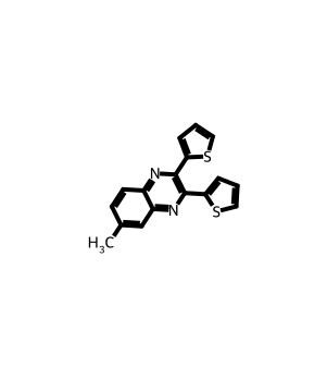 Cc1ccc2nc(-c3cccs3)c(-c3cccs3)nc2c1